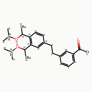 CCC(=O)c1cccc(CCc2ccc(C(O[SiH](C)C)C(C)(C)C)c(C(O[SiH](C)C)C(C)(C)C)c2)c1